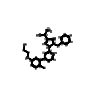 Cc1ccc(OCCF)cc1-c1ccnc(N2N=C(C(N)=O)NC2Cc2ccccc2)c1